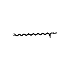 COC(=O)CCCCCCCCCCCCCCCl